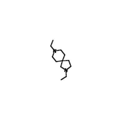 CCN1CCC2(CC1)CCN(CC)C2